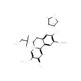 COc1cc2c(cc1O[C@@H]1CCOC1)C[C@@H](C(C)(C)CO)n1cc(C(=O)O)c(=O)cc1-2